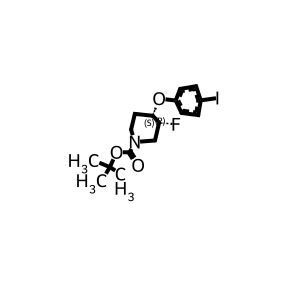 CC(C)(C)OC(=O)N1CC[C@H](Oc2ccc(I)cc2)[C@H](F)C1